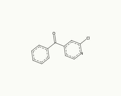 O=C(c1ccccc1)c1ccnc(Cl)c1